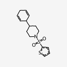 O=S(=O)(c1cccs1)N1CCC(C2C=CCC=C2)CC1